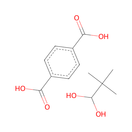 CC(C)(C)C(O)O.O=C(O)c1ccc(C(=O)O)cc1